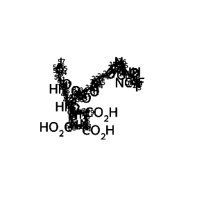 N#C[C@H]1CC(F)(F)CN1C(=O)CNC(=O)c1ccnc2ccc(OCCCC3CCN(C(=O)CCCN4C(=O)CC(SCC(CCCCNC(=O)CCCc5ccc(I)cc5)NC(=O)CN5CCN(CC(=O)O)CCN(CC(=O)O)CCN(CC(=O)O)CC5)C4=O)CC3)cc12